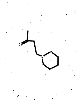 CC(=O)CCN1CCCCC1